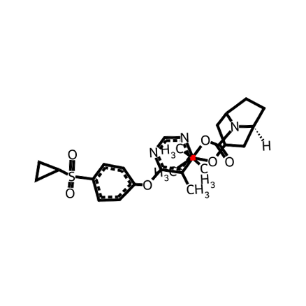 Cc1c(Oc2ccc(S(=O)(=O)C3CC3)cc2)ncnc1OC1CC2CC[C@@H](C1)N2C(=O)OC(C)(C)C